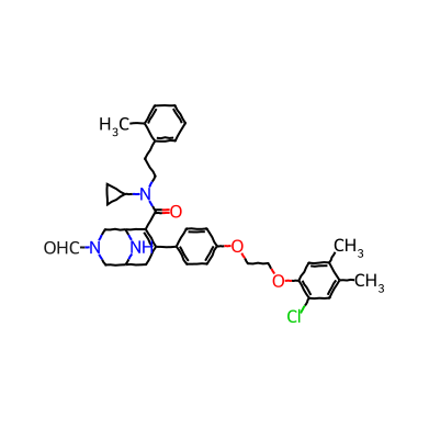 Cc1cc(Cl)c(OCCOc2ccc(C3=C(C(=O)N(CCc4ccccc4C)C4CC4)C4CN(C=O)CC(C3)N4)cc2)cc1C